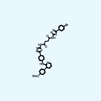 COc1ccc(-c2cccnc2Nc2ccc(-c3nnc(NC(=O)CCC(=O)Nc4nnc(-c5ccc(Br)cc5)s4)s3)cc2)cc1